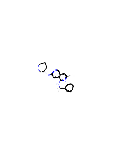 C[C@@H](Nc1nc(C#N)cc2cnc(N[C@@H]3CCCNC3)cc12)c1ccccc1